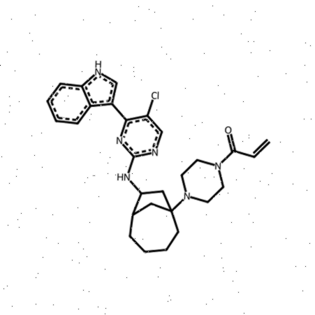 C=CC(=O)N1CCN(C23CCCCC(C2)C(Nc2ncc(Cl)c(-c4c[nH]c5ccccc45)n2)C3)CC1